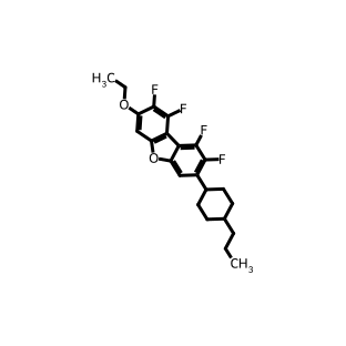 CCCC1CCC(c2cc3oc4cc(OCC)c(F)c(F)c4c3c(F)c2F)CC1